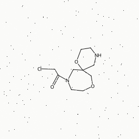 O=C(CCl)N1CCOCC2(CNCCO2)C1